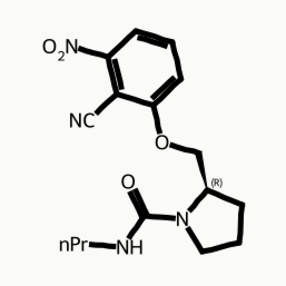 CCCNC(=O)N1CCC[C@@H]1COc1cccc([N+](=O)[O-])c1C#N